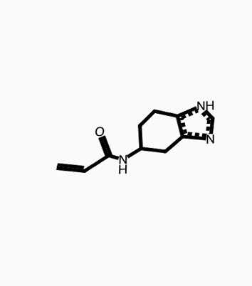 C=CC(=O)NC1CCc2[nH]cnc2C1